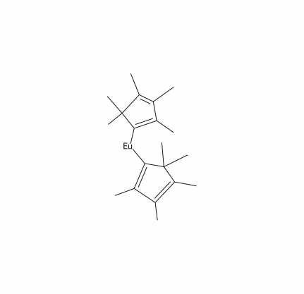 CC1=C(C)C(C)(C)[C]([Eu][C]2=C(C)C(C)=C(C)C2(C)C)=C1C